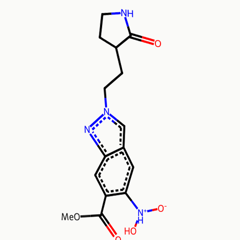 COC(=O)c1cc2nn(CCC3CCNC3=O)cc2cc1[NH+]([O-])O